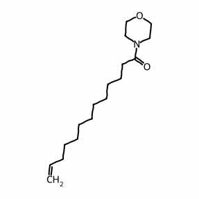 C=CCCCCCCCCCCC(=O)N1CCOCC1